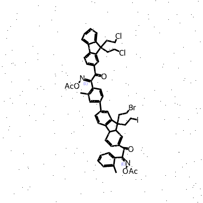 CC(=O)O/N=C(/C(=O)C1=CC2C(C=C1)c1ccc(-c3ccc(/C(=N\OC(C)=O)C(=O)c4ccc5c(c4)C(CCCl)(CCCl)c4ccccc4-5)c(C)c3)cc1C2(CCBr)CCI)c1ccccc1C